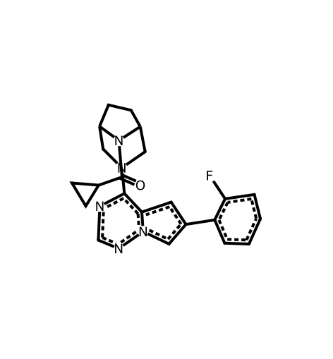 O=C(C1CC1)N1C2CCC1CN(c1ncnn3cc(-c4ccccc4F)cc13)C2